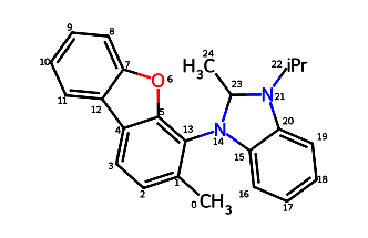 Cc1ccc2c(oc3ccccc32)c1N1c2ccccc2N(C(C)C)C1C